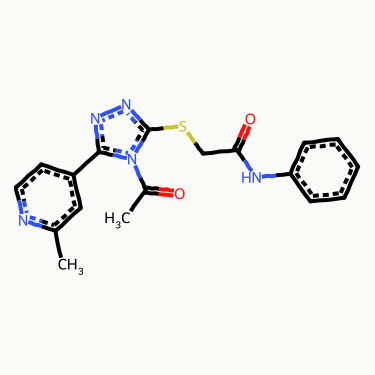 CC(=O)n1c(SCC(=O)Nc2ccccc2)nnc1-c1ccnc(C)c1